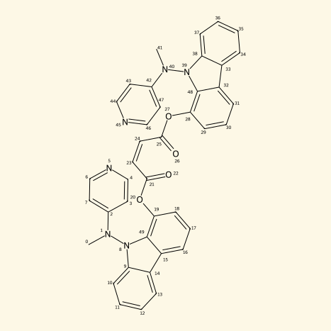 CN(c1ccncc1)n1c2ccccc2c2cccc(OC(=O)/C=C\C(=O)Oc3cccc4c5ccccc5n(N(C)c5ccncc5)c34)c21